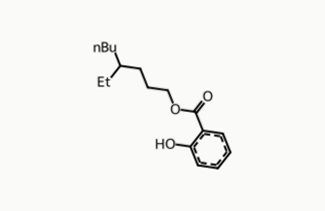 CCCCC(CC)CCCOC(=O)c1ccccc1O